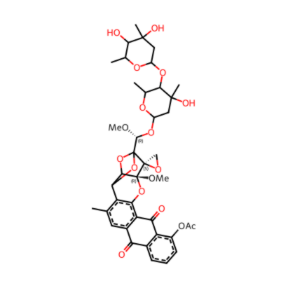 CO[C@H](OC1CC(C)(O)C(OC2CC(C)(O)C(O)C(C)O2)C(C)O1)C12OC3c4c(C)cc5c(c4O[C@](OC)(C3O1)[C@@]21CO1)C(=O)c1c(OC(C)=O)cccc1C5=O